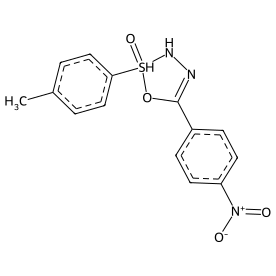 Cc1ccc([SH]2(=O)NN=C(c3ccc([N+](=O)[O-])cc3)O2)cc1